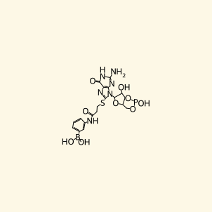 Nc1nc2c(nc(SCCC(=O)Nc3cccc(B(O)O)c3)n2C2OC3COP(O)OC3C2O)c(=O)[nH]1